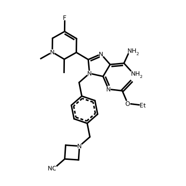 C=C(/N=C1\C(=C(N)N)N=C(C2C=C(F)CN(C)C2C)N1Cc1ccc(CN2CC(C#N)C2)cc1)OCC